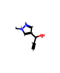 C#CC(O)c1cnn(C)c1